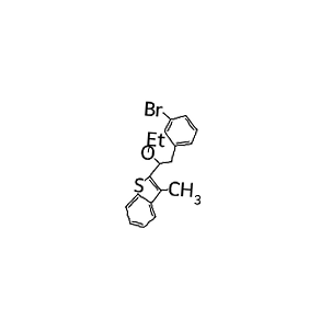 CCOC(Cc1cccc(Br)c1)c1sc2ccccc2c1C